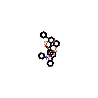 c1ccc(-c2cccc3c2Sc2cccc(-c4cccc5c6ccccc6n(-c6ccccc6)c45)c2C32c3ccccc3Sc3ccccc32)cc1